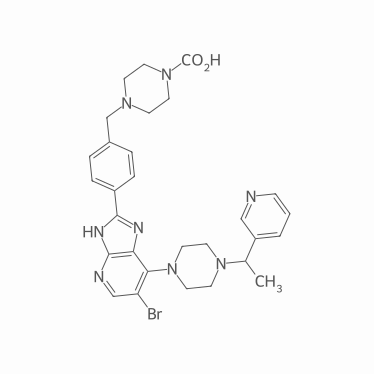 CC(c1cccnc1)N1CCN(c2c(Br)cnc3[nH]c(-c4ccc(CN5CCN(C(=O)O)CC5)cc4)nc23)CC1